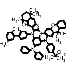 Cc1ccc(C)c(-c2ccc(N3c4cc(N(c5ccccc5)c5ccccc5)cc5c4B(c4cc6c(cc4N5c4ccc(C(C)(C)C)cc4)C(C)(C)c4ccccc4O6)c4sc5cc6c(cc5c43)C(C)(C)CCC6(C)C)cc2)c1